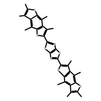 Cc1sc2c(C)c3c(C)c(-c4nc5sc(-c6sc7c(C)c8c(C)c(C)sc8c(C)c7c6C)nc5s4)sc3c(C)c2c1C